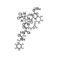 CC(C)(C)OC(=O)N[C@H](C(=O)N1C[C@H]2[C@@H]([C@H]1C(=O)NC(CC1CC1)C(=O)C(=O)NCC(=O)NCc1ccccc1)C2(Cl)Cl)C1CCCCC1